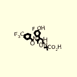 Cc1c(CC(=O)NC(C)(C)C(=O)O)c2cc(O)c(F)cc2n1C(=O)c1ccc(C(F)(F)F)cc1